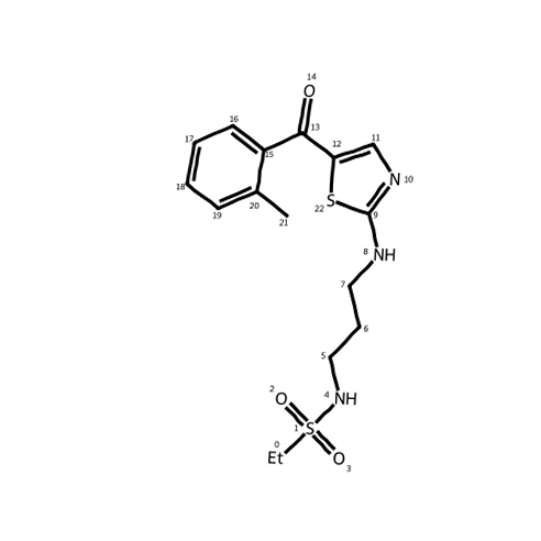 CCS(=O)(=O)NCCCNc1ncc(C(=O)c2ccccc2C)s1